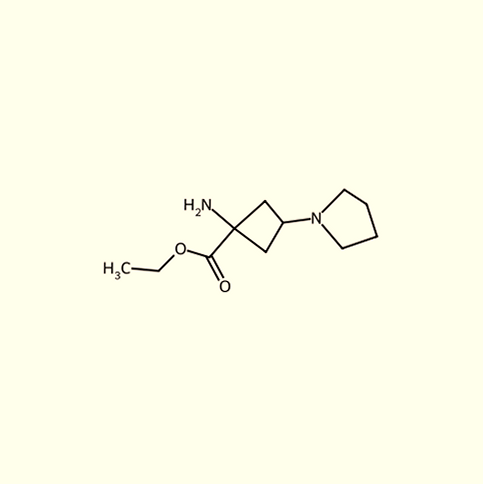 CCOC(=O)C1(N)CC(N2CCCC2)C1